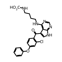 O=C(O)NCCCCNc1ncnc2[nH]cc(C(=O)c3ccc(Oc4ccccc4)cc3Cl)c12